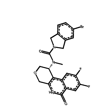 CN(C(=O)N1Cc2ccc(Br)cc2C1)[C@H]1COCc2[nH]c(=O)c3cc(F)c(F)cc3c21